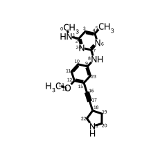 CNc1cc(C)nc(Nc2ccc(OC)c(C#CC3CCNC3)c2)n1